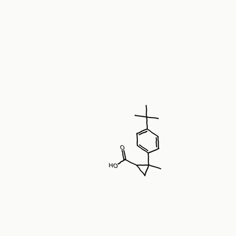 CC(C)(C)c1ccc(C2(C)CC2C(=O)O)cc1